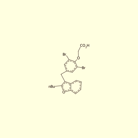 CCCCc1oc2ccccc2c1Cc1cc(Br)c(OCC(=O)O)c(Br)c1